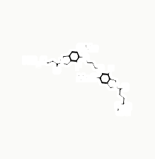 COc1cc2c(c(F)c1OCCCOc1c(OC)cc3c(c1F)CN(C(=O)CCC(=O)OC(C)(C)C)C3)CN(C(=O)CCC(=O)O)C2